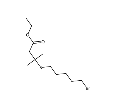 CCOC(=O)CC(C)(C)SCCCCCBr